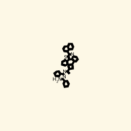 C=C(/N=C(\N=C(/N)c1ccccc1)c1ccccc1)c1ccc(-c2cccc3nc(-c4cccc5ccccc45)c4sc5ccccc5c4c23)cc1